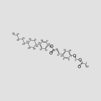 C=CC(=O)OCOc1ccc(C=CC(=O)Oc2ccc(C3CCC(CCCCC)CC3)cc2)cc1